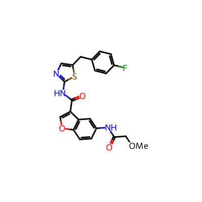 COCC(=O)Nc1ccc2occ(C(=O)Nc3ncc(Cc4ccc(F)cc4)s3)c2c1